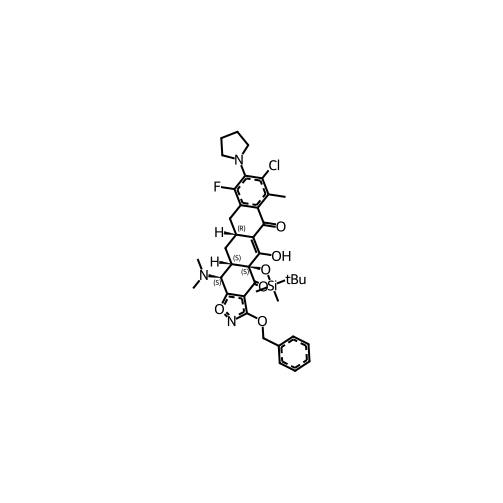 Cc1c(Cl)c(N2CCCC2)c(F)c2c1C(=O)C1=C(O)[C@]3(O[Si](C)(C)C(C)(C)C)C(=O)c4c(OCc5ccccc5)noc4[C@@H](N(C)C)[C@@H]3C[C@@H]1C2